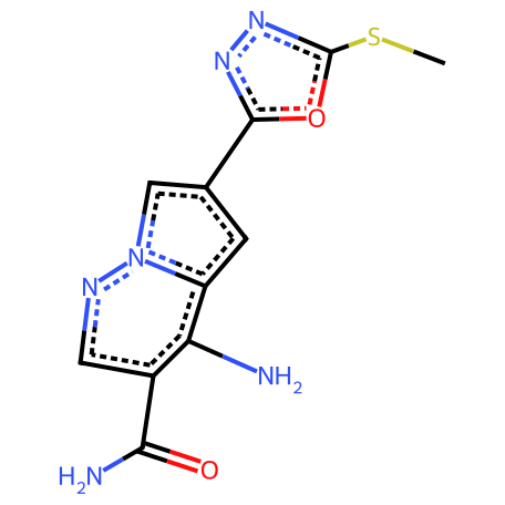 CSc1nnc(-c2cc3c(N)c(C(N)=O)cnn3c2)o1